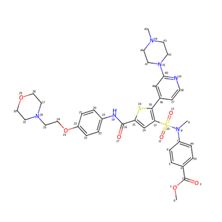 COC(=O)c1ccc(N(C)S(=O)(=O)c2cc(C(=O)Nc3ccc(OCCN4CCOCC4)cc3)sc2-c2ccnc(N3CCN(C)CC3)c2)cc1